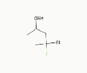 CCC(C)(F)CC(C)OC